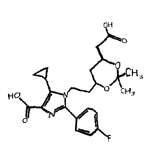 CC1(C)OC(CCn2c(-c3ccc(F)cc3)nc(C(=O)O)c2C2CC2)CC(CC(=O)O)O1